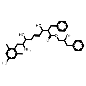 Cc1cc(O)cc(C)c1CC(N)C(O)CC=CC(O)C(Cc1ccccc1)C(=O)OCC(O)Cc1ccccc1